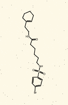 O=C(CCCCCNS(=O)(=O)c1ccc(Br)cc1)NCCC1=CCCCC1